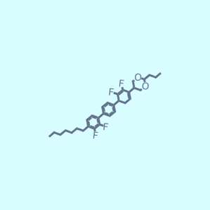 CCCCCCCc1ccc(-c2ccc(C3CC=C(C4COC(CCC)OC4)C(F)=C3F)cc2)c(F)c1F